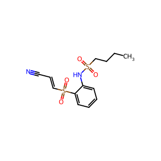 CCCCS(=O)(=O)Nc1ccccc1S(=O)(=O)C=CC#N